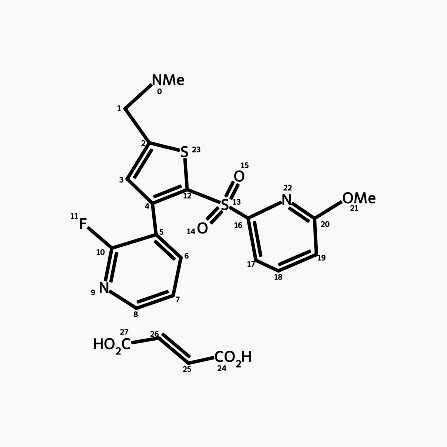 CNCc1cc(-c2cccnc2F)c(S(=O)(=O)c2cccc(OC)n2)s1.O=C(O)/C=C/C(=O)O